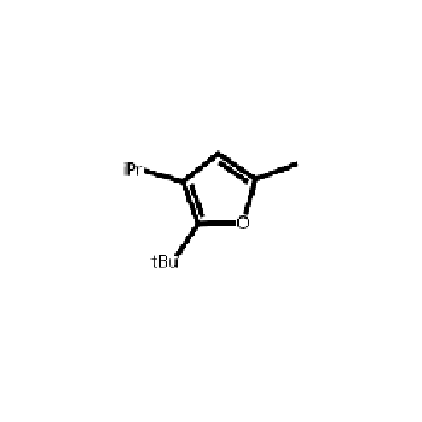 Cc1cc(C(C)C)c(C(C)(C)C)o1